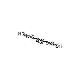 C=CCOC.OCCOCCOCCOCCOCCOCCOCCO